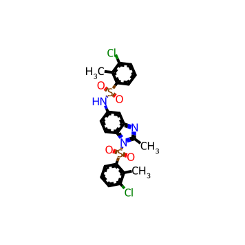 Cc1c(Cl)cccc1S(=O)(=O)Nc1ccc2c(c1)nc(C)n2S(=O)(=O)c1cccc(Cl)c1C